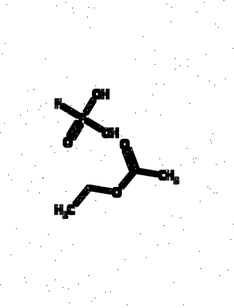 CCOC(C)=O.O=P(O)(O)F